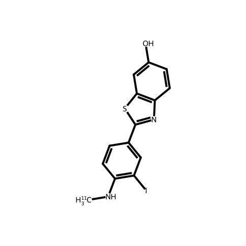 [11CH3]Nc1ccc(-c2nc3ccc(O)cc3s2)cc1I